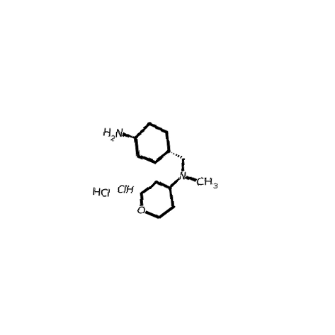 CN(C[C@H]1CC[C@H](N)CC1)C1CCOCC1.Cl.Cl